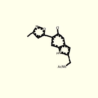 CC(=O)NCc1cc2cc(Cl)c(-c3cc(C)no3)cc2[nH]1